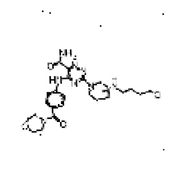 NC(=O)c1nnc(N2CCC[C@@H](NCCCCCl)C2)nc1Nc1ccc(C(=O)N2CCOCC2)cc1